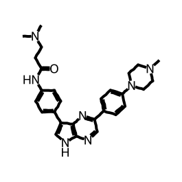 CN(C)CCC(=O)Nc1ccc(-c2c[nH]c3ncc(-c4ccc(N5CCN(C)CC5)cc4)nc23)cc1